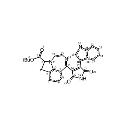 CC(C)COC(=O)C1Cc2cccc3c2N1C=CN=C3C1=C(c2cnc3ccccn23)C(=O)NC1=O